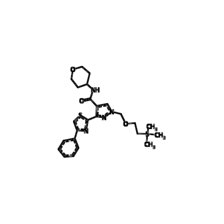 CS(C)(C)CCOCn1cc(C(=O)NC2CCOCC2)c(-c2nc(-c3ccccc3)cs2)n1